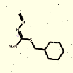 C=N/N=C(/NC)SCC1CCCCC1